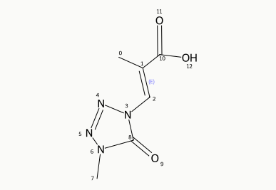 C/C(=C\n1nnn(C)c1=O)C(=O)O